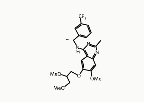 COCC(COc1cc2c(N[C@H](C)c3cccc(C(F)(F)F)c3)nc(C)nc2cc1OC)OC